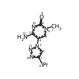 CC(C)c1cn(-c2cn(C)c(=O)nc2N)nn1